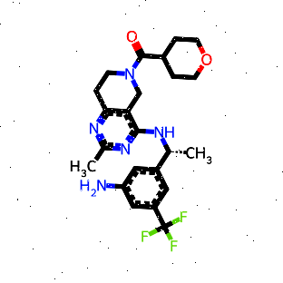 Cc1nc2c(c(N[C@H](C)c3cc(N)cc(C(F)(F)F)c3)n1)CN(C(=O)C1CCOCC1)CC2